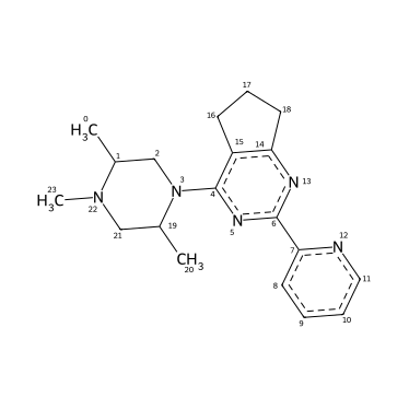 CC1CN(c2nc(-c3ccccn3)nc3c2CCC3)C(C)CN1C